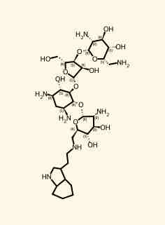 NC[C@@H]1O[C@H](O[C@H]2[C@@H](O)[C@H](O[C@@H]3[C@@H](O)[C@H](N)C[C@H](N)[C@H]3O[C@H]3O[C@H](CNCCC4CNC5CCCCC45)[C@@H](O)[C@H](O)[C@H]3N)O[C@@H]2CO)[C@H](N)[C@@H](O)[C@@H]1O